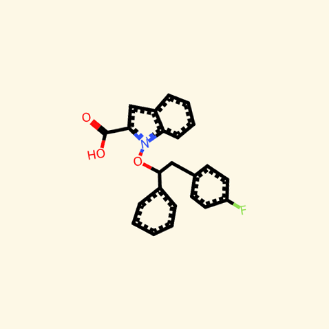 O=C(O)c1cc2ccccc2n1OC(Cc1ccc(F)cc1)c1ccccc1